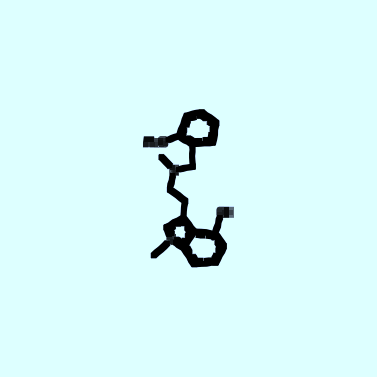 COc1ccccc1CN(C)CCc1cn(C)c2cccc(O)c12